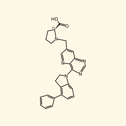 O=C(O)[C@@H]1CCCN1Cc1cnc2c(N3CCc4c(-c5ccccc5)cccc43)ncnc2c1